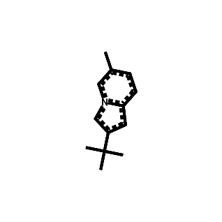 Cc1ccc2cc(C(C)(C)C)cn2c1